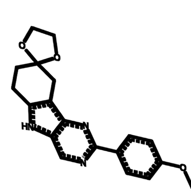 COc1ccc(-c2ncc3[nH]c4c(c3n2)CC2(CC4)OCCO2)cc1